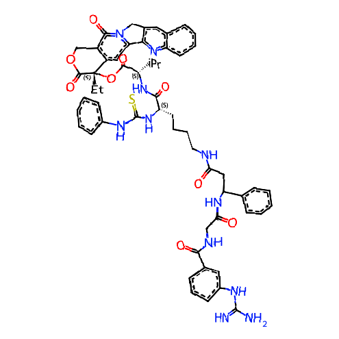 CC[C@@]1(OC(=O)[C@@H](NC(=O)[C@H](CCCCNC(=O)CC(NC(=O)CNC(=O)c2cccc(NC(=N)N)c2)c2ccccc2)NC(=S)Nc2ccccc2)C(C)C)C(=O)OCc2c1cc1n(c2=O)Cc2cc3ccccc3nc2-1